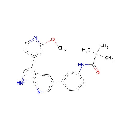 COc1cc(-c2c[nH]c3ncc(-c4cccc(NC(=O)C(C)(C)C)c4)cc23)ccn1